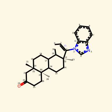 C/C=C(/n1cnc2ccccc21)[C@@]1(C)CCC2C(CC[C@@]3(C)CC(=O)CC[C@]23C)C1C